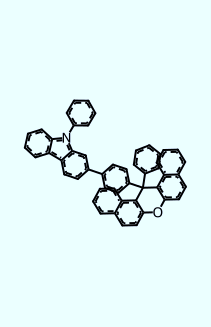 c1ccc(-n2c3ccccc3c3ccc(-c4ccc(C5(c6ccccc6)c6c(ccc7ccccc67)Oc6ccc7ccccc7c65)cc4)cc32)cc1